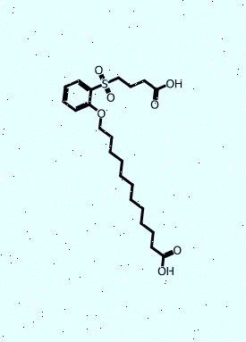 O=C(O)CCCCCCCCCCCOc1ccccc1S(=O)(=O)CCCC(=O)O